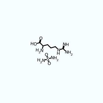 N=C(N)NCCCC(N)C(=O)O.NS(N)(=O)=O